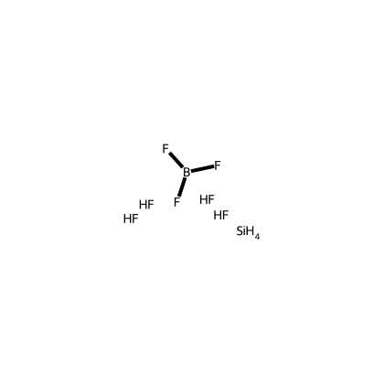 F.F.F.F.FB(F)F.[SiH4]